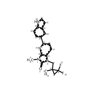 Cn1c(=O)n(CC2(C)CC2(F)F)c2ccc(-c3ccc4[nH]ccc4c3)nc21